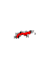 O=C1CN(CC(=O)Nc2ccn(CCC(F)Cn3cc(C(=O)NCc4cccc(OC(F)(F)F)c4)nn3)c(=O)c2)CCN1